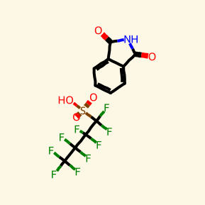 O=C1NC(=O)c2ccccc21.O=S(=O)(O)C(F)(F)C(F)(F)C(F)(F)C(F)(F)F